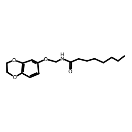 CCCCCCCC(=O)NCOc1ccc2c(c1)OCCO2